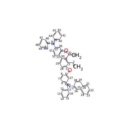 C=Cc1c(Oc2cccc(N(c3ccccc3)c3ccc4ccccc4c3)c2)ccc2c1C(=C)Oc1cc(N(c3ccccc3)c3ccccn3)ccc1-2